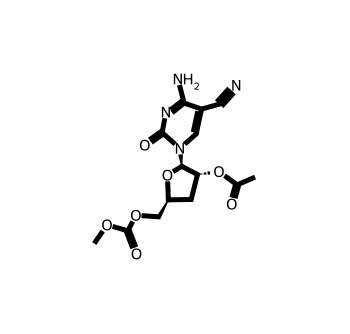 COC(=O)OC[C@@H]1C[C@@H](OC(C)=O)[C@H](n2cc(C#N)c(N)nc2=O)O1